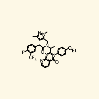 CCOc1ccc(-n2c(C(C)N(Cc3cc(C)nn3C)C(=O)Cc3ccc(F)c(C(F)(F)F)c3)nc3ncccc3c2=O)cc1